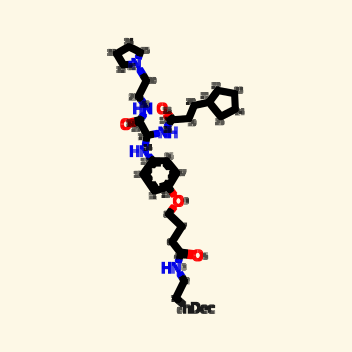 CCCCCCCCCCCCNC(=O)CCCOc1ccc(NC(NC(=O)CCC2CCCC2)C(=O)NCCN2CCCC2)cc1